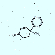 CC1(c2ccccc2)C=CC(=O)CC1